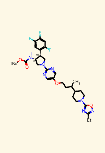 CCc1noc(N2CCC(C(C)CCOc3cnc(N4C[C@H](NC(=O)OC(C)(C)C)[C@@H](c5cc(F)c(F)cc5F)C4)nc3)CC2)n1